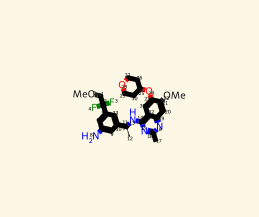 COCC(F)(F)c1cc(N)cc([C@@H](C)Nc2nc(C)nc3cc(OC)c(OC4CCOCC4)cc23)c1